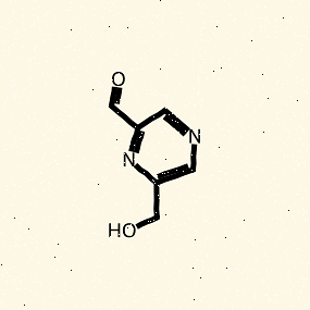 O=Cc1cncc(CO)n1